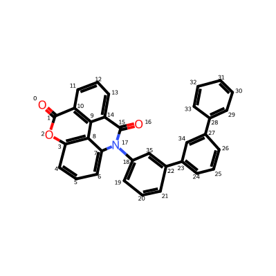 O=c1oc2cccc3c2c2c1cccc2c(=O)n3-c1cccc(-c2cccc(-c3ccccc3)c2)c1